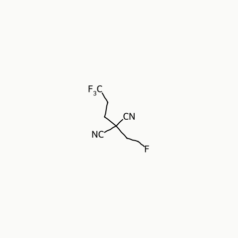 N#CC(C#N)(CCF)CCC(F)(F)F